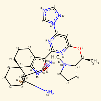 C[C@H](Oc1cc(-n2cncn2)nc(-c2onc3c2CCC[C@@]32CCCc3sc(N)c(C#N)c32)n1)[C@@H]1CCCN1C